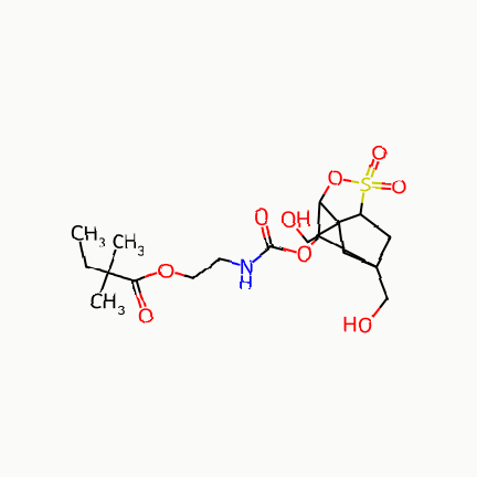 CCC(C)(C)C(=O)OCCNC(=O)OC1C2OS(=O)(=O)C3CC1(CO)CC23CO